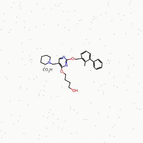 Cc1c(COc2ncc(CN3CCCC[C@H]3C(=O)O)c(OCCCCO)n2)cccc1-c1ccccc1